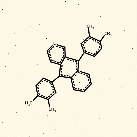 Cc1ccc(-c2c3ccccc3c(-c3ccc(C)c(C)c3)c3cnccc23)cc1C